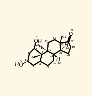 C[C@]12C(O)C[C@@H](O)CC1CC[C@@H]1[C@@H]2CC[C@]2(C)C(=O)CC[C@@H]12